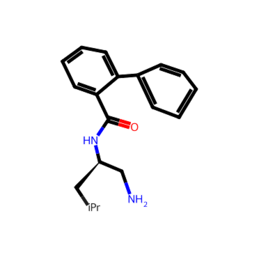 CC(C)C[C@H](CN)NC(=O)c1ccccc1-c1ccccc1